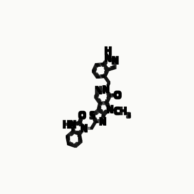 Cn1c2nc(Cn3c(=O)[nH]c4ccccc43)sc2c2cnn(Cc3cccc4[nH]ncc34)c(=O)c21